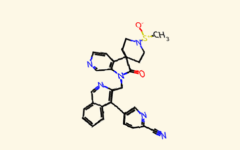 C[S+]([O-])N1CCC2(CC1)C(=O)N(Cc1ncc3ccccc3c1-c1ccc(C#N)nc1)c1cnccc12